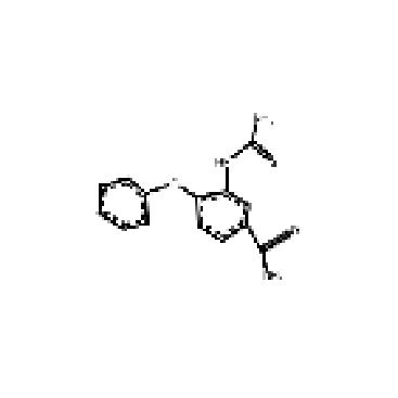 NC(=O)c1ccc(Oc2ccccc2)c(NC(N)=S)c1